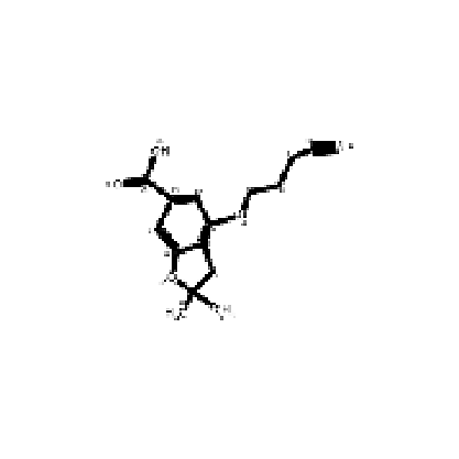 CC1(C)Cc2c(OCCCC#N)cc(C(=O)O)cc2O1